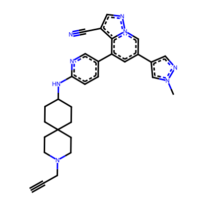 C#CCN1CCC2(CCC(Nc3ccc(-c4cc(-c5cnn(C)c5)cn5ncc(C#N)c45)cn3)CC2)CC1